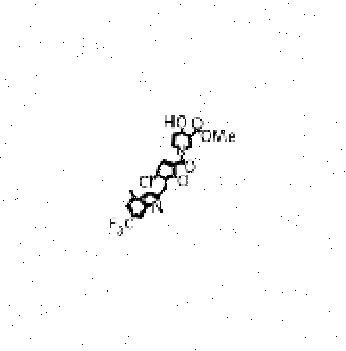 COC(=O)C1CN(C(=O)C2=CCC(Cl)C(Cc3cc4c(C)cc(C(F)(F)F)cc4n3C)=C2Cl)CCC1O